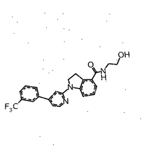 O=C(NCCO)c1cccc2c1CCN2c1cc(-c2cccc(C(F)(F)F)c2)ccn1